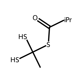 CC(C)C(=O)SC(C)(S)S